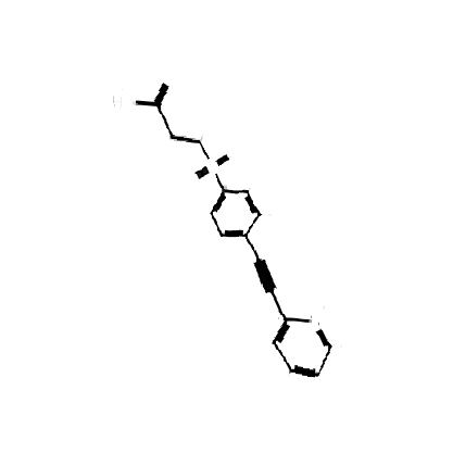 O=C(O)CCS(=O)(=O)c1ccc(C#Cc2ccccn2)cc1